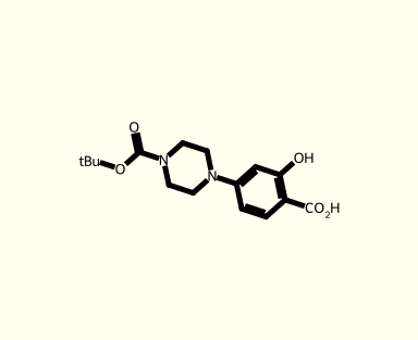 CC(C)(C)OC(=O)N1CCN(c2ccc(C(=O)O)c(O)c2)CC1